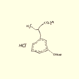 COc1cccc(C(C)C(=O)O)c1.Cl